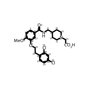 COc1ccc(C(=O)NCC2CCN(CC(=O)O)CC2)cc1OCCc1ccc(Cl)cc1Cl